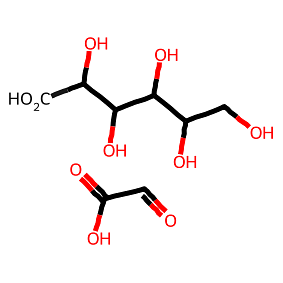 O=C(O)C(O)C(O)C(O)C(O)CO.O=CC(=O)O